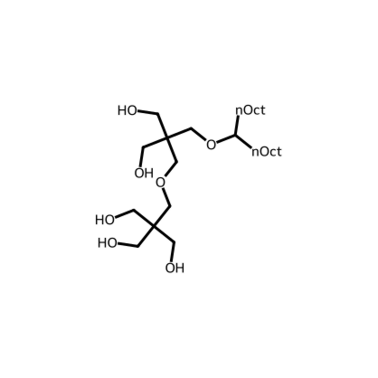 CCCCCCCCC(CCCCCCCC)OCC(CO)(CO)COCC(CO)(CO)CO